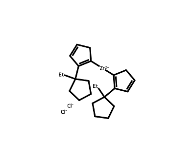 CCC1(C2=[C]([Zr+2][C]3=C(C4(CC)CCCC4)C=CC3)CC=C2)CCCC1.[Cl-].[Cl-]